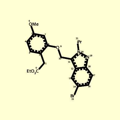 CCOC(=O)Cc1ccc(OC)cc1OCc1c2cc(Br)ccc2nn1C(C)C